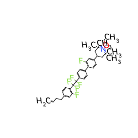 C=CCCc1ccc(C(F)(F)C(F)(F)c2ccc(-c3ccc(C4CC(C)(C)N(OCC)C(C)(C)C4)cc3F)cc2)c(F)c1